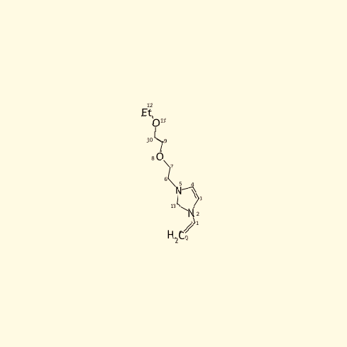 C=CN1C=CN(CCOCCOCC)C1